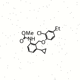 CCc1ccc(OCc2c(NC(=O)OC)cccc2C2CC2)c(Cl)c1